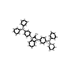 O=c1n(-c2ccc(N(c3ccccc3)c3ccccc3)cc2)c2ccccc2n1-c1ccc(N(c2ccccc2)C2C=CC=CC2)cc1